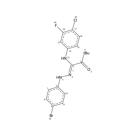 CC(C)(C)C(=O)/C(=N/Nc1ccc(Br)cc1)Nc1ccc(Cl)c(F)c1